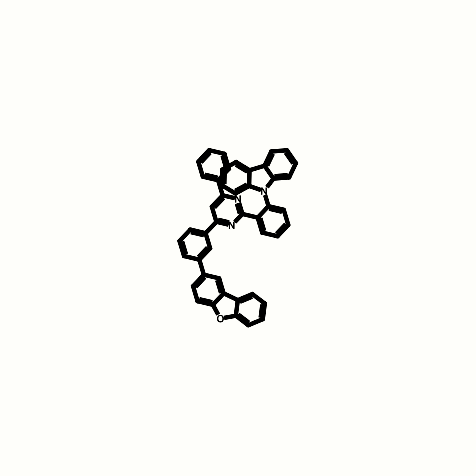 c1ccc(-c2cc(-c3cccc(-c4ccc5oc6ccccc6c5c4)c3)nc(-c3ccccc3-n3c4ccccc4c4ccccc43)n2)cc1